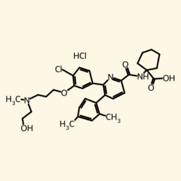 Cc1ccc(-c2ccc(C(=O)NC3(C(=O)O)CCCCC3)nc2-c2ccc(Cl)c(OCCCN(C)CCO)c2)c(C)c1.Cl